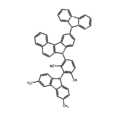 Cc1ccc2c(c1)c1cc(C)ccc1n2-c1c(C#N)ccc(-n2c3ccc(-n4c5ccccc5c5ccccc54)cc3c3c4ccccc4ccc32)c1C#N